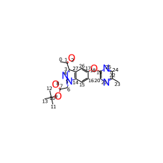 CC(=O)c1nn(CC(=O)OC(C)(C)C)c2ccc(Oc3cnc(C)cn3)cc12